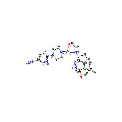 N#Cc1ccc(N2CCN([C@@H]3CN([C@@H]4CCc5c4n[nH]c(=O)c5C(F)(F)F)CCO3)CC2)nc1